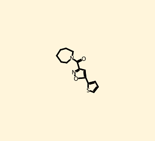 O=C(c1cc(-c2cccs2)on1)N1CCCCCC1